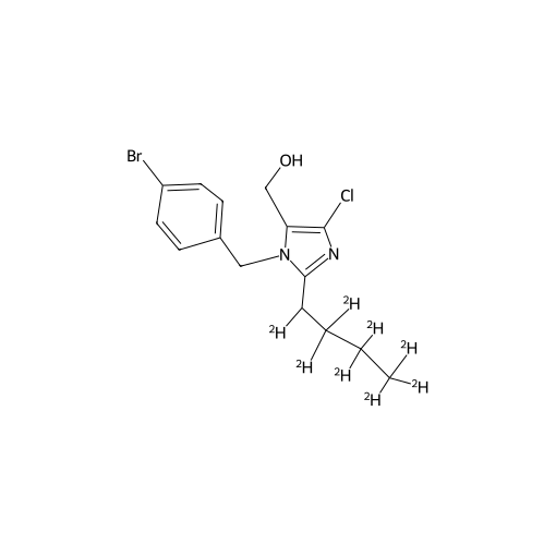 [2H]C(c1nc(Cl)c(CO)n1Cc1ccc(Br)cc1)C([2H])([2H])C([2H])([2H])C([2H])([2H])[2H]